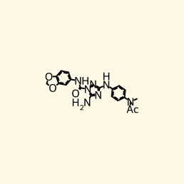 CC(=O)N(C)c1ccc(Nc2nc(N)n(C(=O)Nc3ccc4c(c3)OCO4)n2)cc1